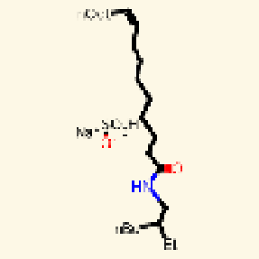 CCCCCCCC/C=C\CCCCCCCC(=O)NCC(CC)CCCC.O=S(=O)([O-])O.[Na+]